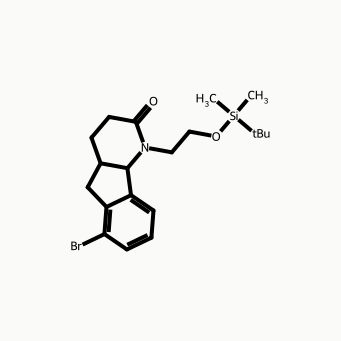 CC(C)(C)[Si](C)(C)OCCN1C(=O)CCC2Cc3c(Br)cccc3C21